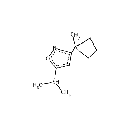 C[SH](C)c1cc(C2(C)CCC2)no1